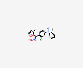 Cc1ccccc1Nc1ccc(C(=NO)c2occc2C)c(Cl)c1